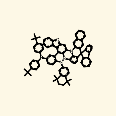 CC(C)(C)c1ccc(N(c2ccc(C(C)(C)C)cc2)c2ccc3c(c2)-c2c4c(cc5oc6ccccc6c25)N2c5cc6ccccc6cc5C5(c6ccccc6-c6ccccc65)c5cccc(c52)B4N3c2ccc3c(c2)C(C)(C)CCC3(C)C)cc1